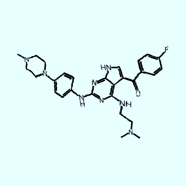 CN(C)CCNc1nc(Nc2ccc(N3CCN(C)CC3)cc2)nc2[nH]cc(C(=O)c3ccc(F)cc3)c12